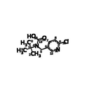 CC(C)(C)N(Cc1ccc(Cl)nc1)C(=O)O